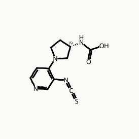 O=C(O)N[C@H]1CCN(c2ccncc2N=C=S)C1